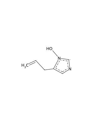 C=CCc1cn[c]n1O